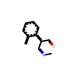 C=c1cccc/c1=C(C=O)/C=N\C